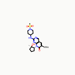 CNc1cc2cnc(NC3CCN(S(C)(=O)=O)CC3)nc2n([C@@H]2CCC[C@@]2(C)O)c1=O